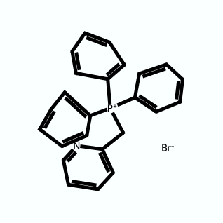 [Br-].c1ccc([P+](Cc2ccccn2)(c2ccccc2)c2ccccc2)cc1